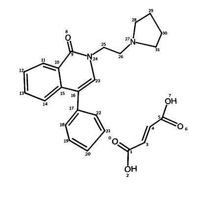 O=C(O)C=CC(=O)O.O=c1c2ccccc2c(-c2ccccc2)cn1CCN1CCCC1